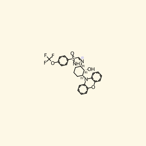 N=S(=O)(/C=N\[C@@H]1CCC[C@H](N2c3ccccc3Oc3ccccc32)[C@H]1O)c1ccc(OC(F)(F)F)cc1